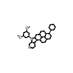 COc1cc(OC)cc(-n2c3cnccc3c3c4ccc5ccc(-c6ccccc6)c6ccc(cc32)c4c56)c1